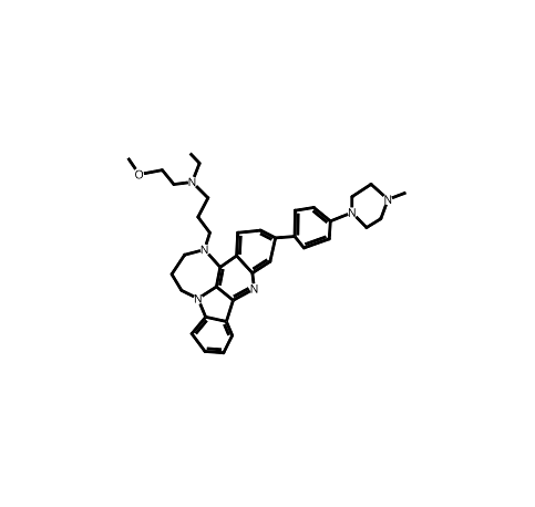 CCN(CCCN1CCCn2c3ccccc3c3nc4cc(-c5ccc(N6CCN(C)CC6)cc5)ccc4c1c32)CCOC